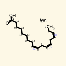 CC/C=C\C/C=C\C/C=C\CCCCCCCC(=O)O.[Mn]